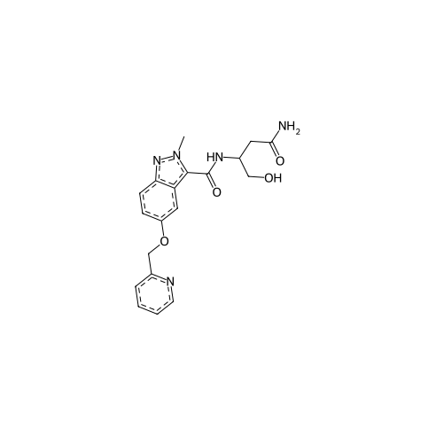 Cn1nc2ccc(OCc3ccccn3)cc2c1C(=O)NC(CO)CC(N)=O